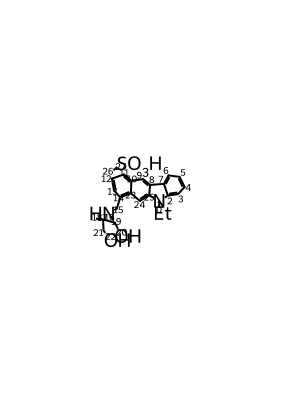 CCn1c2ccccc2c2cc3cccc(CNC(C)(CO)CO)c3cc21.CS(=O)(=O)O